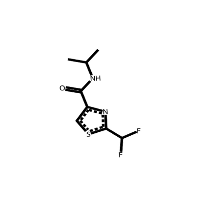 CC(C)NC(=O)c1csc(C(F)F)n1